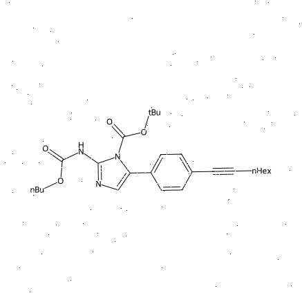 CCCCCCC#Cc1ccc(-c2cnc(NC(=O)OCCCC)n2C(=O)OC(C)(C)C)cc1